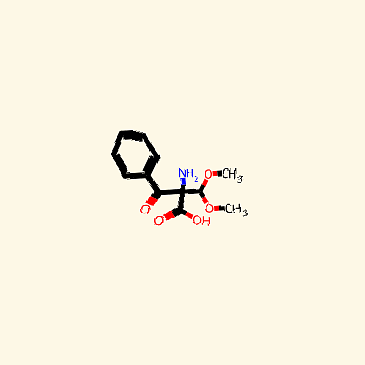 COC(OC)C(N)(C(=O)O)C(=O)c1ccccc1